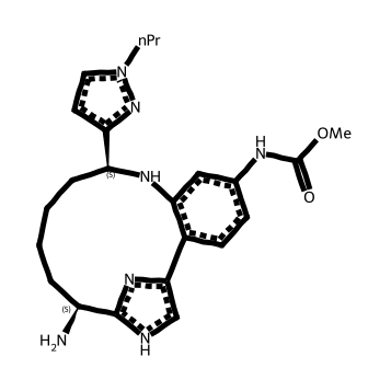 CCCn1ccc([C@@H]2CCCC[C@H](N)c3nc(c[nH]3)-c3ccc(NC(=O)OC)cc3N2)n1